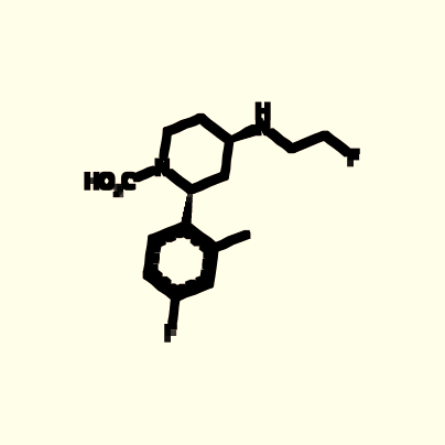 Cc1cc(F)ccc1[C@H]1C[C@H](NCCF)CCN1C(=O)O